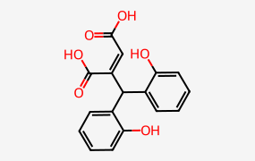 O=C(O)/C=C(\C(=O)O)C(c1ccccc1O)c1ccccc1O